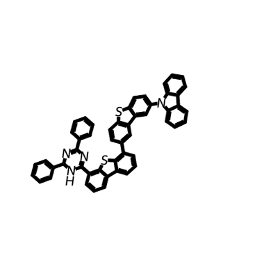 c1ccc(C2=NC(c3ccccc3)NC(c3cccc4c3sc3c(-c5ccc6sc7ccc(-n8c9ccccc9c9ccccc98)cc7c6c5)cccc34)=N2)cc1